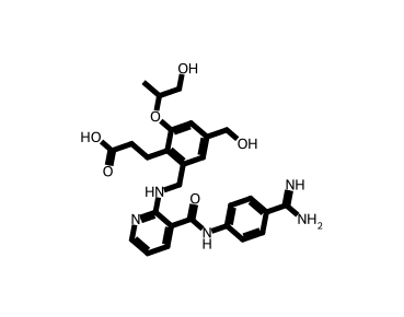 CC(CO)Oc1cc(CO)cc(CNc2ncccc2C(=O)Nc2ccc(C(=N)N)cc2)c1CCC(=O)O